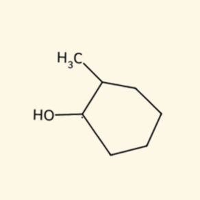 CC1CCCC[C]1O